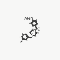 CNc1ccc(C(=O)N2CCN(Cc3cncc(F)c3)CC2)cc1